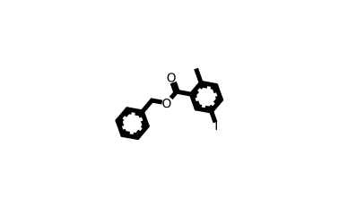 Cc1ccc(I)cc1C(=O)OCc1ccccc1